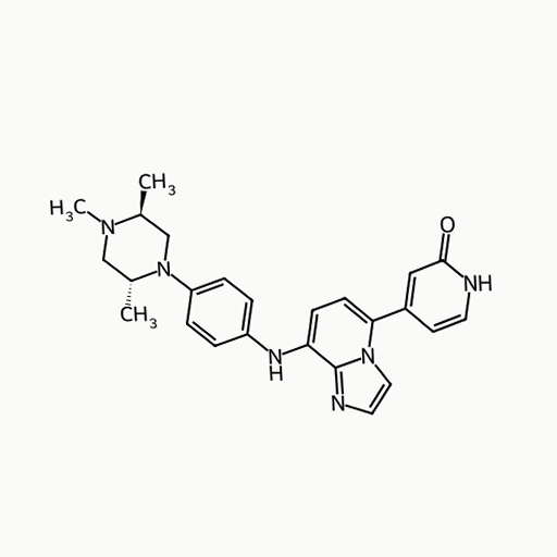 C[C@@H]1CN(C)[C@@H](C)CN1c1ccc(Nc2ccc(-c3cc[nH]c(=O)c3)n3ccnc23)cc1